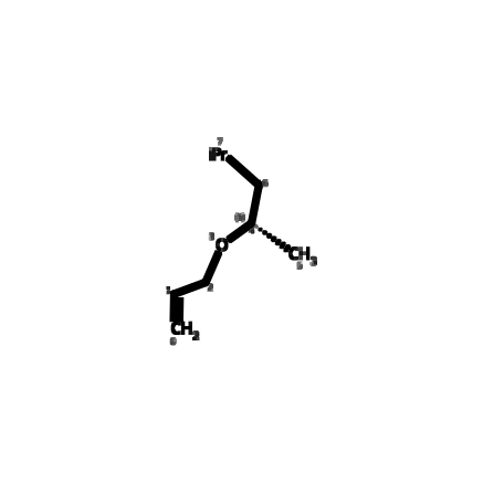 C=CCO[C@@H](C)[CH]C(C)C